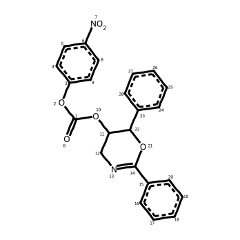 O=C(Oc1ccc([N+](=O)[O-])cc1)OC1CN=C(c2ccccc2)OC1c1ccccc1